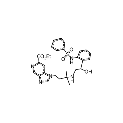 CCOC(=O)c1cc2c(cn1)ncn2CCC(C)(C)NCC(O)c1ccccc1NS(=O)(=O)c1ccccc1